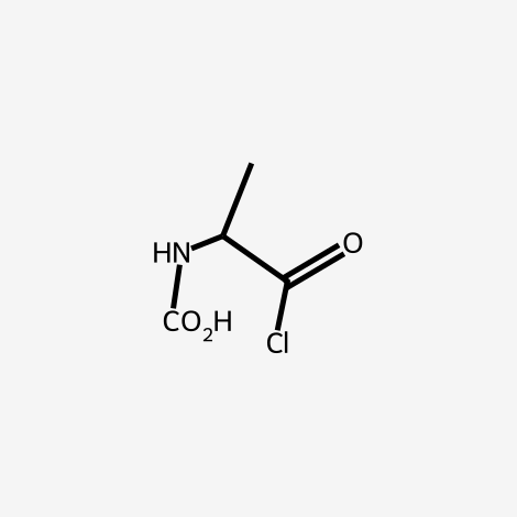 CC(NC(=O)O)C(=O)Cl